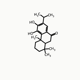 CC(C)c1cc2c(c(O)c1O)C1(C)CCCC(C)(C)C1CC2=O